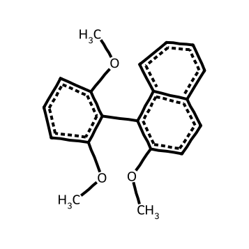 COc1cccc(OC)c1-c1c(OC)ccc2ccccc12